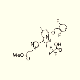 COC(=O)CCn1cc(-c2c(C)nn3c(OCc4c(F)cccc4F)cc(C)cc23)cn1.O=C(O)C(F)(F)F